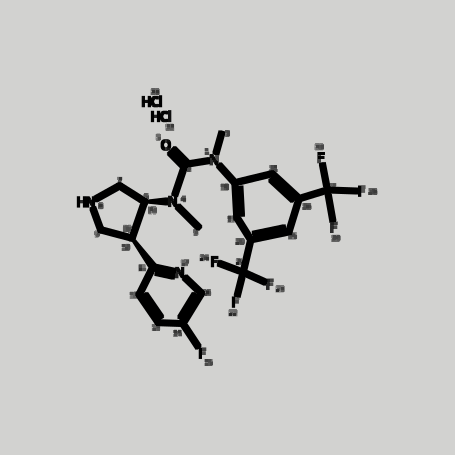 CN(C(=O)N(C)[C@@H]1CNC[C@@H]1c1ccc(F)cn1)c1cc(C(F)(F)F)cc(C(F)(F)F)c1.Cl.Cl